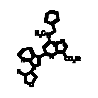 CCOC(=O)c1cnn2c(N(C)Cc3ccccc3)cc(-c3cn(C4COCC4F)c4ncccc34)nc12